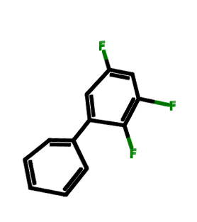 Fc1cc(F)c(F)c(-c2ccccc2)c1